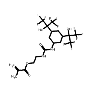 C=C(C)C(=O)OCCNC(=O)NC1CC(C(O)(C(F)(F)F)C(F)(F)F)CC(C(O)(C(F)(F)F)C(F)(F)F)C1